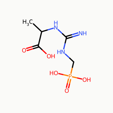 CC(NC(=N)NCP(=O)(O)O)C(=O)O